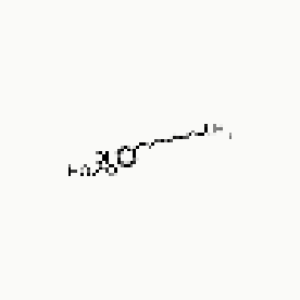 CCCCCCCCCc1ccc(OC(O)CO)cc1